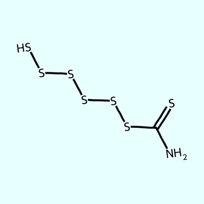 NC(=S)SSSSSS